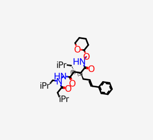 CC(C)CC(=O)N(CC(C)C)NC(=O)[C@H](CC(C)C)[C@H](CC=Cc1ccccc1)C(=O)NOC1CCCCO1